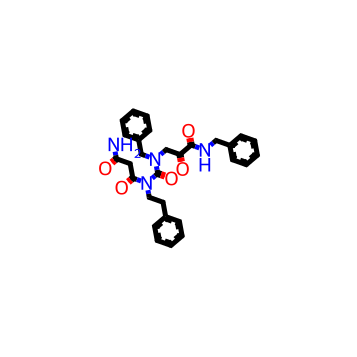 NC(=O)CC(=O)N(CCc1ccccc1)C(=O)N(CC(=O)C(=O)NCc1ccccc1)Cc1ccccc1